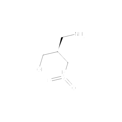 NC[C@H](CO)C[SH](=O)=O